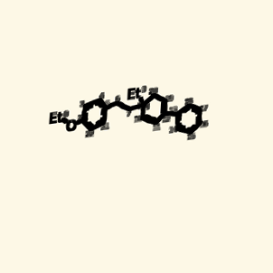 CCOc1ccc(CC[C@@]2(CC)C=CC(c3ccccc3)=CC2)cc1